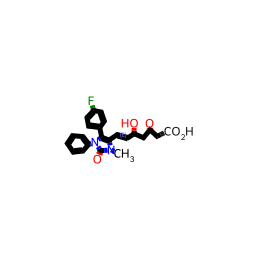 Cn1c(/C=C/C(O)CC(=O)CC(=O)O)c(-c2ccc(F)cc2)n(-c2ccccc2)c1=O